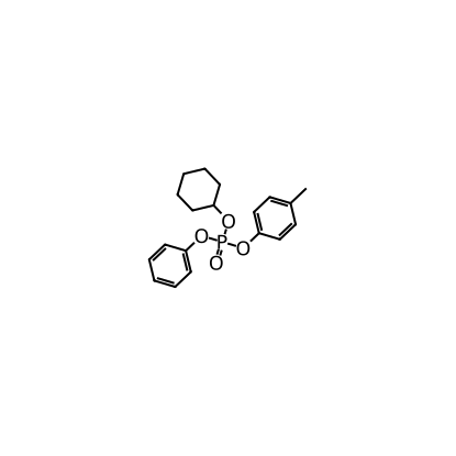 Cc1ccc(OP(=O)(Oc2ccccc2)OC2CCCCC2)cc1